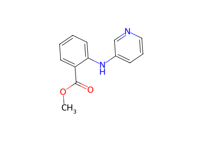 COC(=O)c1ccccc1Nc1cccnc1